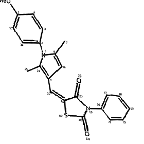 COc1ccc(-n2c(C)cc(C=C3SC(=O)N(c4ccccc4)C3=O)c2C)cc1